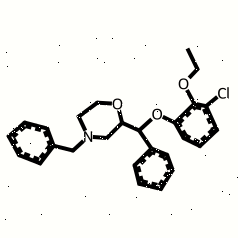 CCOc1c(Cl)cccc1OC(c1ccccc1)C1CN(Cc2ccccc2)CCO1